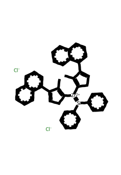 CC1=[C]([Zr+2]([C]2=C(C)C(c3cccc4ccccc34)=CC2)=[Si](c2ccccc2)c2ccccc2)CC=C1c1cccc2ccccc12.[Cl-].[Cl-]